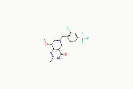 COC1CN(Cc2ccc(C(F)(F)F)cc2F)Cc2c1nc(C)[nH]c2=O